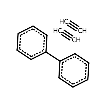 C#C.C#C.c1ccc(-c2ccccc2)cc1